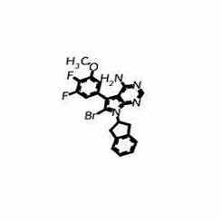 COc1cc(-c2c(Br)n(C3Cc4ccccc4C3)c3ncnc(N)c23)cc(F)c1F